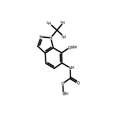 [2H]C([2H])([2H])n1ncc2ccc(NC(=O)OC(C)(C)C)c(OC)c21